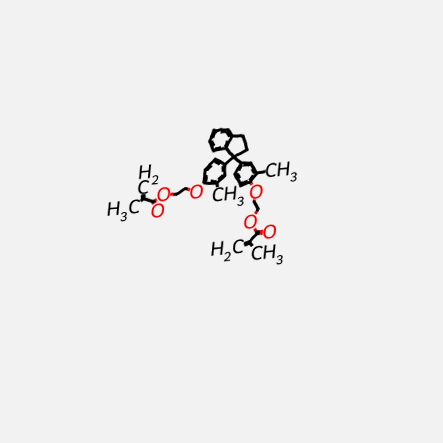 C=C(C)C(=O)OCCOc1ccc(C2(c3ccc(OCCOC(=O)C(=C)C)c(C)c3)CCc3ccccc32)cc1C